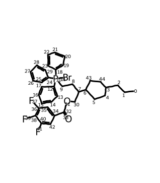 CCCC1CCC(C(CCP(Br)(c2ccccc2)(c2ccccc2)c2ccccc2)COC(=O)c2cc(F)c(F)c(F)c2)CC1